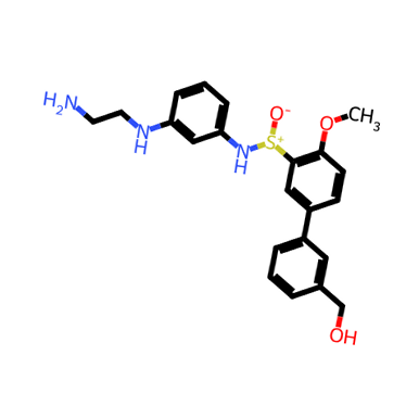 COc1ccc(-c2cccc(CO)c2)cc1[S+]([O-])Nc1cccc(NCCN)c1